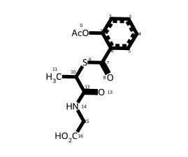 CC(=O)Oc1ccccc1C(=O)SC(C)C(=O)NCC(=O)O